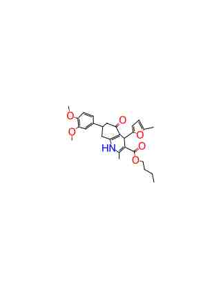 CCCCOC(=O)C1=C(C)NC2=C(C(=O)CC(c3ccc(OC)c(OC)c3)C2)C1c1ccc(C)o1